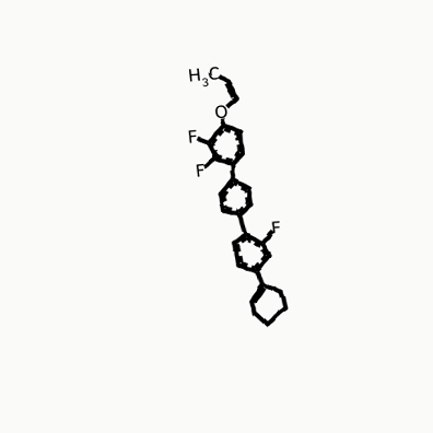 C/C=C\Oc1ccc(-c2ccc(-c3ccc(C4=CCCCC4)cc3F)cc2)c(F)c1F